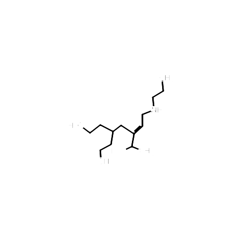 CCCNC/C=C(\CC(CCC)CCC)C(C)C